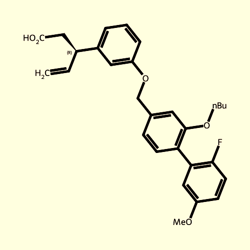 C=C[C@@H](CC(=O)O)c1cccc(OCc2ccc(-c3cc(OC)ccc3F)c(OCCCC)c2)c1